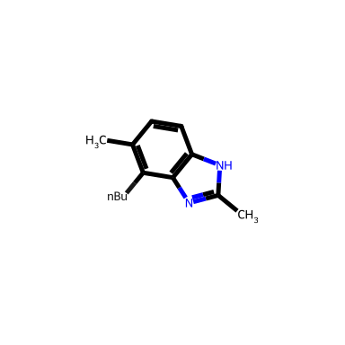 CCCCc1c(C)ccc2[nH]c(C)nc12